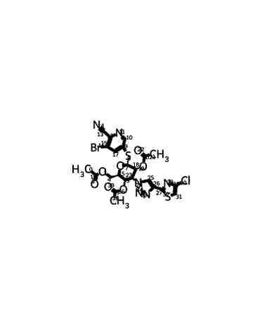 CC(=O)OC[C@H]1O[C@H](Sc2cnc(C#N)c(Br)c2)[C@H](OC(C)=O)[C@@H](n2cc(-c3nc(Cl)cs3)nn2)[C@H]1OC(C)=O